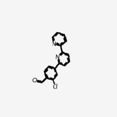 O=Cc1ccc(-c2cccc(-c3ccccn3)n2)cc1Cl